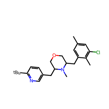 Cc1cc(Cl)c(C)c(CC2COCC(Cc3ccc(C(C)(C)C)nc3)N2C)c1